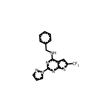 FC(F)(F)c1cc2c(NCc3ccccc3)nc(-n3cccn3)nc2s1